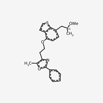 CO[C@@H](C)Cc1ccc(OCCc2nc(-c3ccccc3)oc2C)c2ccsc12